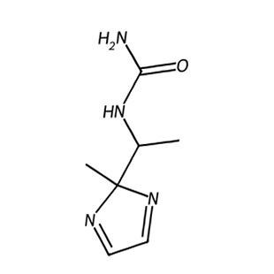 CC(NC(N)=O)C1(C)N=CC=N1